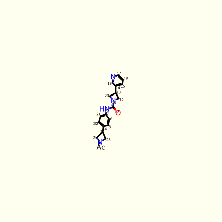 CC(=O)N1CC(c2ccc(NC(=O)N3CC(c4cccnc4)C3)cc2)C1